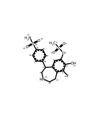 CS(=O)(=O)Oc1cc2c(c(F)c1O)CCNCC2c1ccc(S(N)(=O)=O)cc1